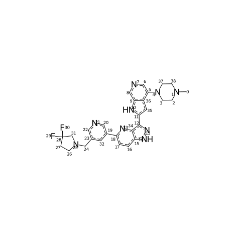 CN1CCN(c2cncc3[nH]c(-c4n[nH]c5ccc(-c6cncc(CN7CCC(F)(F)C7)c6)nc45)cc23)CC1